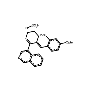 COc1ccc(C=C2CCCN=C2c2cncc3ccccc23)c(OC)c1.O=S(=O)(O)O